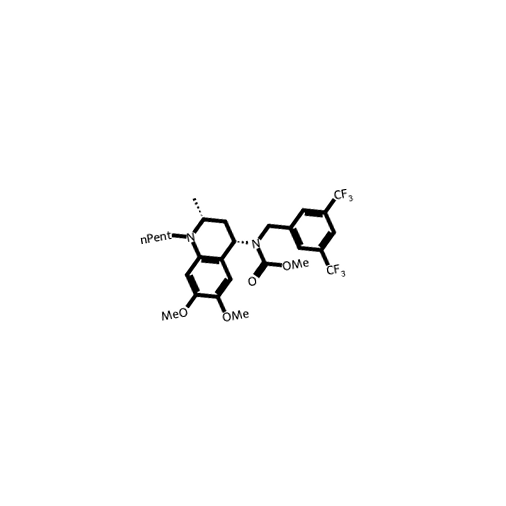 CCCCCN1c2cc(OC)c(OC)cc2[C@@H](N(Cc2cc(C(F)(F)F)cc(C(F)(F)F)c2)C(=O)OC)C[C@H]1C